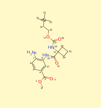 COC(=O)c1ccc(N)c(NC(=O)C2(NC(=O)OCC[Si](C)(C)C)CCC2)c1